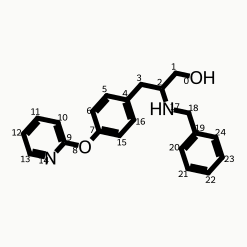 OCC(Cc1ccc(Oc2ccccn2)cc1)NCc1ccccc1